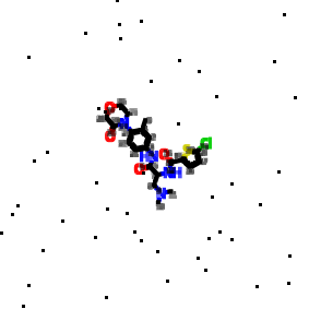 Cc1cc(NC(=O)C(CN(C)C)NC(=O)c2ccc(Cl)s2)ccc1N1CCOCC1=O